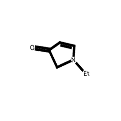 CCN1C=CC(=O)C1